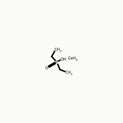 CCP(=O)(O)CC.[GeH4]